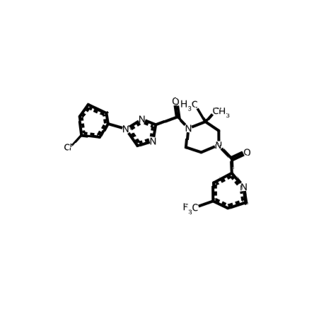 CC1(C)CN(C(=O)c2cc(C(F)(F)F)ccn2)CCN1C(=O)c1ncn(-c2cccc(Cl)c2)n1